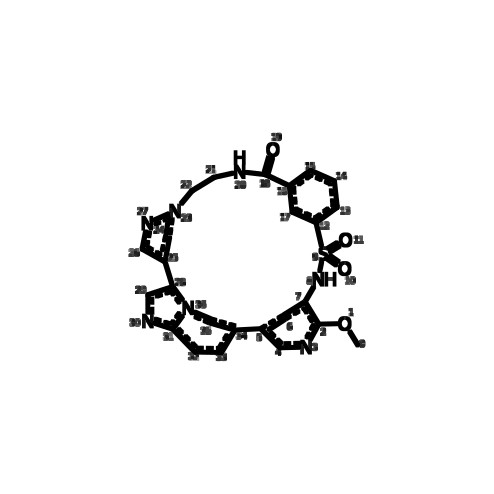 COc1ncc2cc1NS(=O)(=O)c1cccc(c1)C(=O)NCCn1cc(cn1)-c1cnc3ccc-2cn13